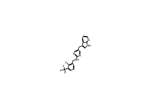 Fc1c(CNc2ncc(Cc3c[nH]c4ncccc34)cn2)cccc1C(F)(F)F